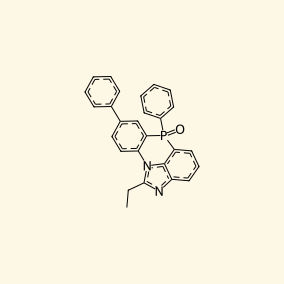 CCc1nc2cccc3c2n1-c1ccc(-c2ccccc2)cc1P3(=O)c1ccccc1